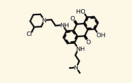 CN(C)CCNc1ccc(NCCN2CCCC(Cl)C2)c2c1C(=O)c1c(O)ccc(O)c1C2=O